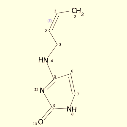 C/C=C\CNc1cc[nH]c(=O)n1